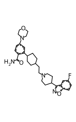 NC(=O)c1ccc(N2CCOCC2)cc1C1CCC(CCN2CCC(c3noc4ccc(F)cc34)CC2)CC1